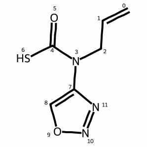 C=CCN(C(=O)S)c1conn1